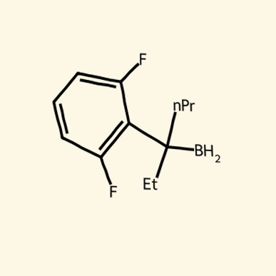 BC(CC)(CCC)c1c(F)cccc1F